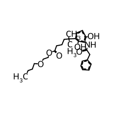 CCCCOCCOC(=O)CCCC(C)(C)c1ccc(O)c(NC(=O)Cc2ccccc2)c1O